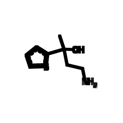 CC(O)(CCN)c1cccs1